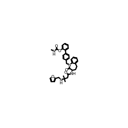 CNC(=O)Oc1ccccc1-c1ccc(CN2C(=O)[C@H](NC(=O)CC(C)(C)NCc3ccco3)CCc3ccccc32)cc1